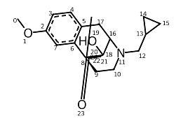 COc1ccc2c(c1)[C@]13CCN(CC4CC4)C(C2)C1(O)CCC(=O)C3